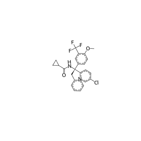 COc1ccc([C@@](Cc2ccccc2)(NC(=O)C2CC2)c2ccc(Cl)cn2)cc1C(F)(F)F